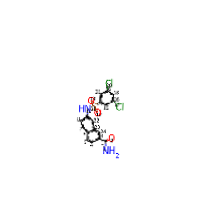 NC(=O)c1ccc2ccc(NS(=O)(=O)c3cc(Cl)cc(Cl)c3)cc2c1